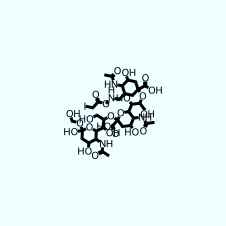 CC(=O)NC1C(O)CC(OC(CO)C(O)C2OC(OC(CO)C(O)C3OC(O)(OCO)CC(O)C3NC(C)=O)(C(=O)O)CC(O)C2NC(C)=O)(C(=O)O)CC1CNOC(=O)CI